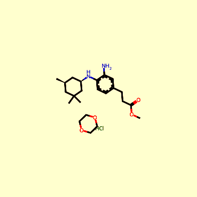 C1COCCO1.COC(=O)CCc1ccc(N[C@@H]2C[C@H](C)CC(C)(C)C2)c(N)c1.Cl